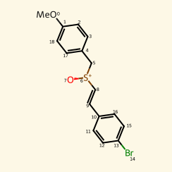 COc1ccc(C[S+]([O-])C=Cc2ccc(Br)cc2)cc1